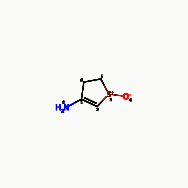 NC1=C[S+]([O-])CC1